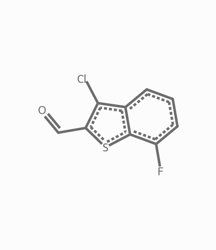 O=Cc1sc2c(F)cccc2c1Cl